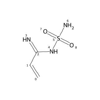 C=CC(=N)NS(N)(=O)=O